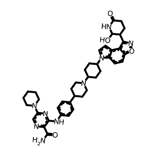 NC(=O)c1ncc(N2CCCCC2)nc1Nc1ccc(C2CCN(C3CCC(n4ccc5c6c(C7CCC(=O)NC7O)noc6ccc54)CC3)CC2)cc1